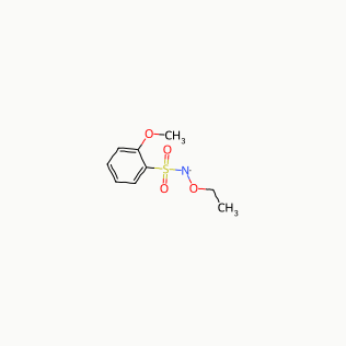 CCO[N]S(=O)(=O)c1ccccc1OC